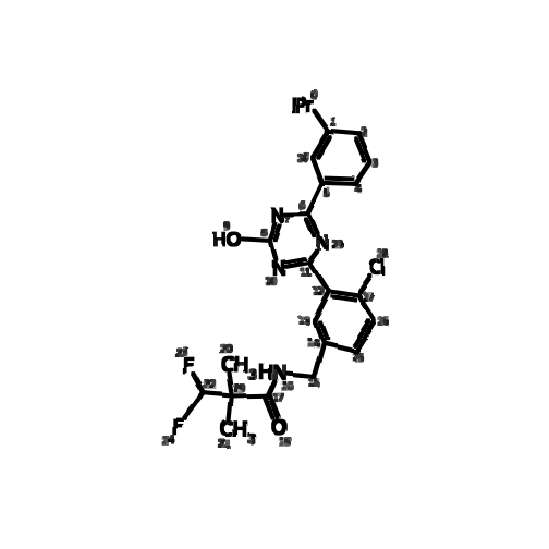 CC(C)c1cccc(-c2nc(O)nc(-c3cc(CNC(=O)C(C)(C)C(F)F)ccc3Cl)n2)c1